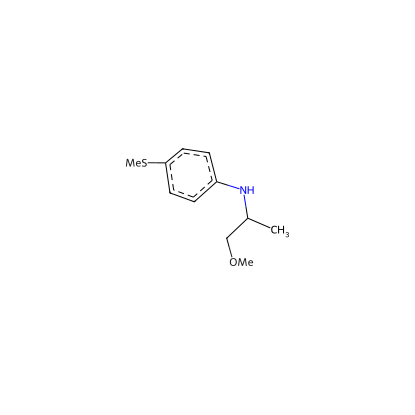 COCC(C)Nc1ccc(SC)cc1